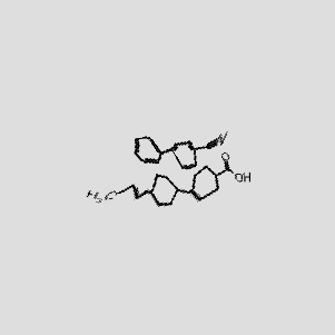 CCCC1CCC(C2CCC(C(=O)O)CC2)CC1.N#Cc1ccc(-c2ccccc2)cc1